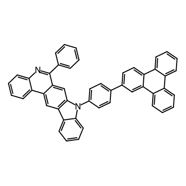 c1ccc(-c2nc3ccccc3c3cc4c5ccccc5n(-c5ccc(-c6ccc7c8ccccc8c8ccccc8c7c6)cc5)c4cc23)cc1